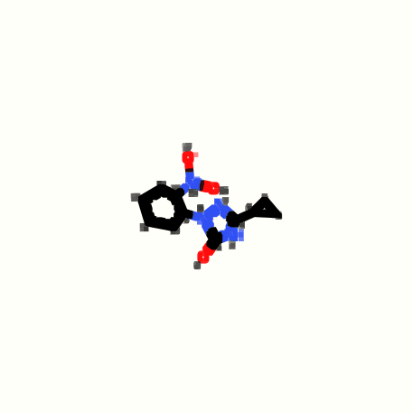 O=c1[nH]c(C2CC2)nn1-c1ccccc1[N+](=O)[O-]